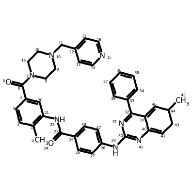 Cc1ccc(C(=O)N2CCN(Cc3ccncc3)CC2)cc1NC(=O)c1ccc(Nc2nc(-c3ccccc3)c3c(n2)=CCC(C)C=3)cc1